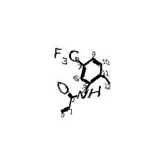 C=CC(=O)Nc1cc(C(F)(F)F)ccc1C